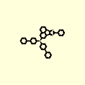 c1ccc(-c2ccc(N(c3ccc(-c4ccccc4)cc3)c3cc4c5c(cccc5c3)-c3nc(-c5ccccc5)sc3-4)cc2)cc1